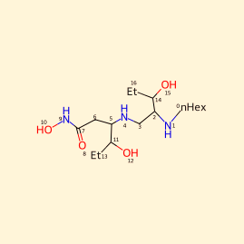 CCCCCCNC(CNC(CC(=O)NO)C(O)CC)C(O)CC